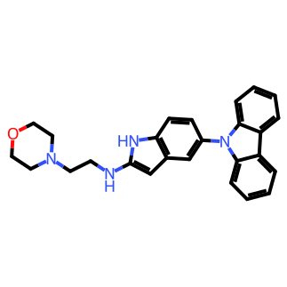 c1ccc2c(c1)c1ccccc1n2-c1ccc2[nH]c(NCCN3CCOCC3)cc2c1